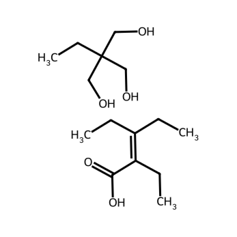 CCC(CC)=C(CC)C(=O)O.CCC(CO)(CO)CO